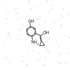 Nc1ccc(O)cc1C(O)=C1CC1